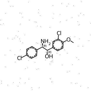 COc1ccc([C@@H](O)[C@H](N)c2ccc(Cl)cc2)cc1Cl